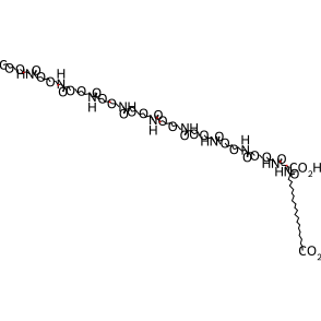 O=CCOCCOCCNC(=O)COCCOCCNC(=O)COCCOCCNC(=O)COCCOCCNC(=O)COCCOCCNC(=O)COCCOCCNC(=O)COCCOCCNC(=O)COCCOCCNC(=O)COCCOCCNC(=O)CC[C@H](NC(=O)CCCCCCCCCCCCCCCCCCCCC(=O)O)C(=O)O